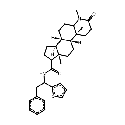 CN1C(=O)CC[C@@]2(C)C1CC[C@@H]1[C@H]2CC[C@]2(C)C(C(=O)NC(Cc3ccccc3)c3cccs3)CC[C@@H]12